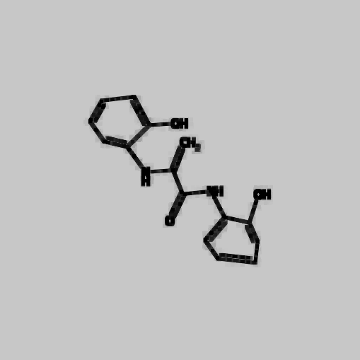 C=C(Nc1ccccc1O)C(=O)Nc1ccccc1O